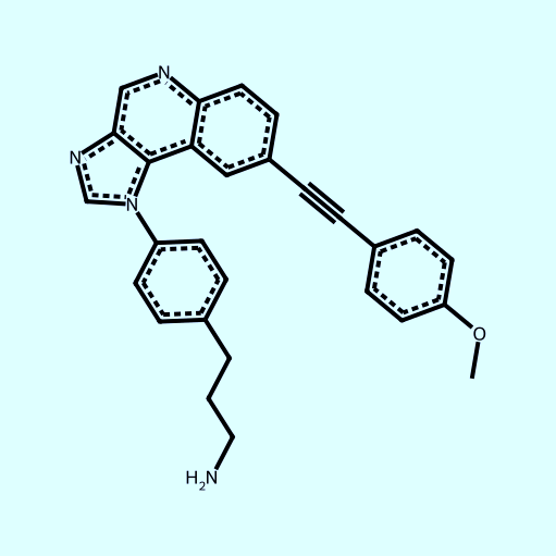 COc1ccc(C#Cc2ccc3ncc4ncn(-c5ccc(CCCN)cc5)c4c3c2)cc1